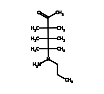 CCCN(N)C(C)(C)C(C)(C)C(C)(C)C(C)=O